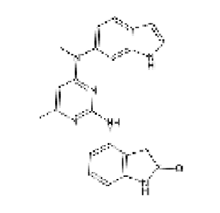 Cc1cc(N(C)c2ccc3cc[nH]c3c2)nc(Nc2cccc3c2CC(=O)N3)n1